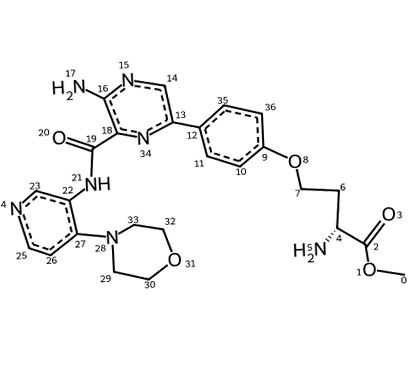 COC(=O)[C@H](N)CCOc1ccc(-c2cnc(N)c(C(=O)Nc3cnccc3N3CCOCC3)n2)cc1